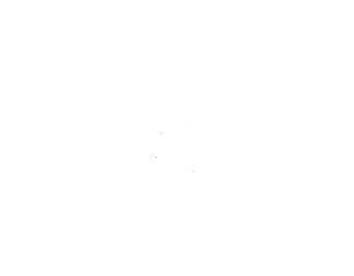 CC1=C(CC(C)C)C(=O)N(Nc2ccc(C)c(Cl)n2)C1=O